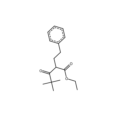 CCOC(=O)C(CCc1ccccc1)C(=O)C(C)(C)C